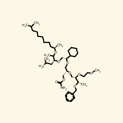 COCCO[C@@H](CO[C@H](COC(N)=O)CO[C@H](CO[C@@H](CC(C)C)C(C)O[C@H](C)CCCCCCCC(C)C)C1CCCCC1)[C@H](C)OCc1ccccc1